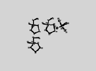 CC[N+]1(C)CCCC1.CC[N+]1(C)CCCC1.CC[N+]1(C)CCCC1.[O-]P([O-])([O-])=S